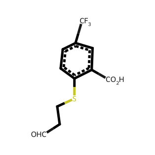 O=CCCSc1ccc(C(F)(F)F)cc1C(=O)O